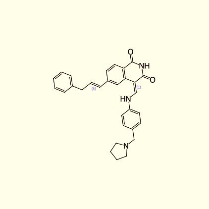 O=C1NC(=O)c2ccc(/C=C/Cc3ccccc3)cc2/C1=C\Nc1ccc(CN2CCCC2)cc1